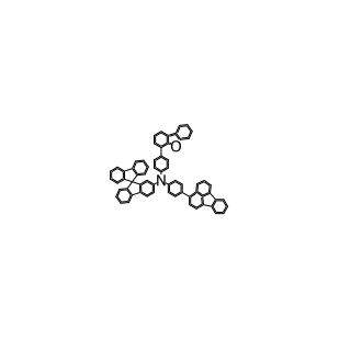 c1ccc2c(c1)-c1cccc3c(-c4ccc(N(c5ccc(-c6cccc7c6oc6ccccc67)cc5)c5ccc6c(c5)C5(c7ccccc7-c7ccccc75)c5ccccc5-6)cc4)ccc-2c13